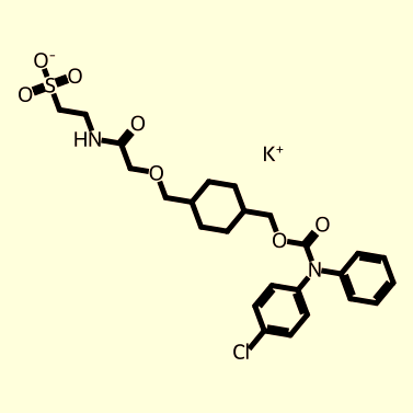 O=C(COCC1CCC(COC(=O)N(c2ccccc2)c2ccc(Cl)cc2)CC1)NCCS(=O)(=O)[O-].[K+]